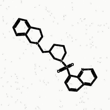 O=S(=O)(c1cccc2cccnc12)N1CCCC(CN2CCc3ccccc3C2)C1